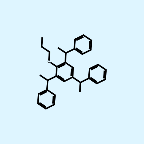 CCCOc1c(C(C)c2ccccc2)cc(C(C)c2ccccc2)cc1C(C)c1ccccc1